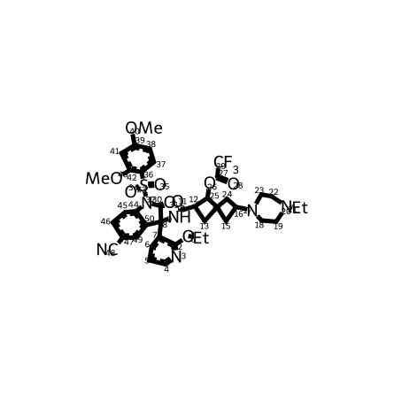 CCOc1ncccc1C1(NC(=O)C2CC3(CC(N4CCN(CC)CC4)C3)C2OC(=O)C(F)(F)F)C(=O)N(S(=O)(=O)c2ccc(OC)cc2OC)c2ccc(C#N)cc21